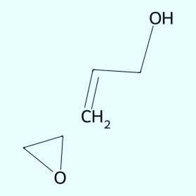 C1CO1.C=CCO